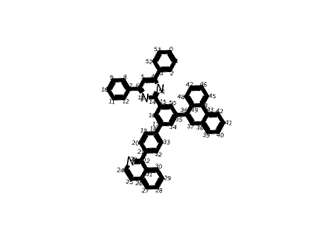 c1ccc(-c2cc(-c3ccccc3)nc(-c3cc(-c4ccc(-c5nccc6ccccc56)cc4)cc(-c4cc5ccccc5c5ccccc45)c3)n2)cc1